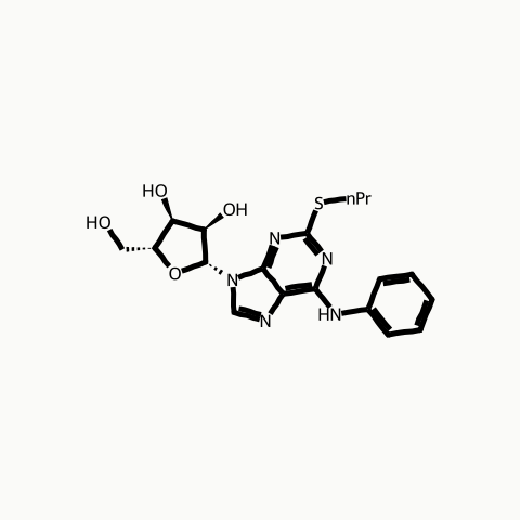 CCCSc1nc(Nc2ccccc2)c2ncn([C@@H]3O[C@H](CO)[C@@H](O)[C@H]3O)c2n1